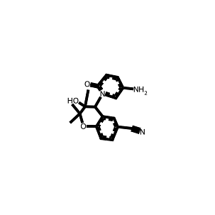 CC1(C)Oc2ccc(C#N)cc2C(n2cc(N)ccc2=O)C1(C)O